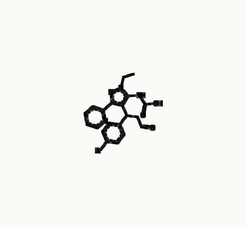 CCn1nc(-c2ccccn2)c(C(CC=O)c2ccc(Br)cc2)c1NC(=O)O